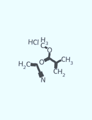 C=C(C)C(=O)OC.C=CC#N.Cl